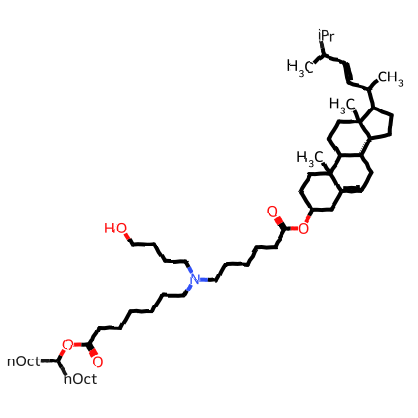 CCCCCCCCC(CCCCCCCC)OC(=O)CCCCCCN(CCCCO)CCCCCC(=O)OC1CCC2(C)C(=CCC3C2CCC2(C)C(C(C)/C=C/C(C)C(C)C)CCC32)C1